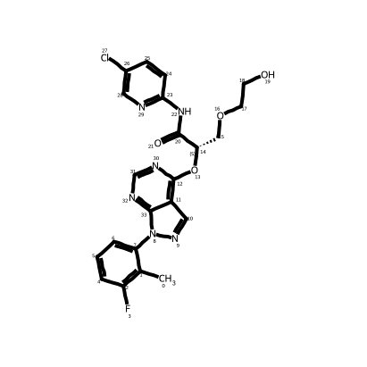 Cc1c(F)cccc1-n1ncc2c(O[C@@H](COCCO)C(=O)Nc3ccc(Cl)cn3)ncnc21